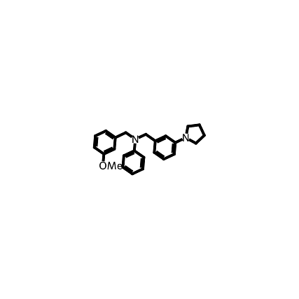 COc1cccc(CN(Cc2cccc(N3CCCC3)c2)c2ccccc2)c1